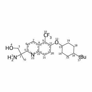 CC(N)(CO)c1ccc2c(C(F)(F)F)c(OC3CCC(C(C)(C)C)CC3)ccc2n1